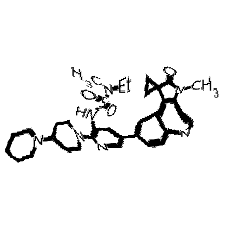 CCN(C)S(=O)(=O)Nc1cc(-c2ccc3ncc4c(c3c2)C2(CC2)C(=O)N4C)cnc1N1CCC(N2CCCCC2)CC1